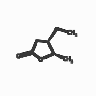 CC[C@@H]1CC(=O)O[C@@H]1C